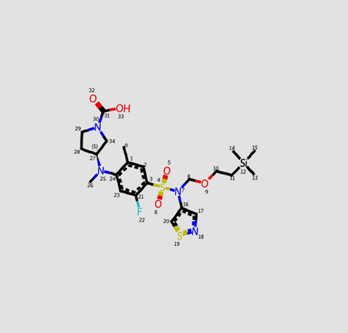 Cc1cc(S(=O)(=O)N(COCC[Si](C)(C)C)c2cnsc2)c(F)cc1N(C)[C@H]1CCN(C(=O)O)C1